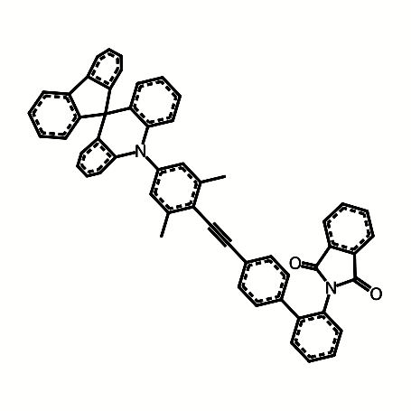 Cc1cc(N2c3ccccc3C3(c4ccccc4-c4ccccc43)c3ccccc32)cc(C)c1C#Cc1ccc(-c2ccccc2N2C(=O)c3ccccc3C2=O)cc1